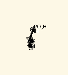 CN(C(=O)CCCCCNC(=O)CCC(=O)O)C1CCC(c2ccc(Cl)c(Cl)c2)c2ccccc21